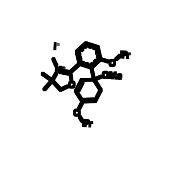 COC1(c2c(OC(C)C)cccc2C2=[N+](C)C(C)(C)CO2)C=CC(OC(C)C)=CC1.[I-]